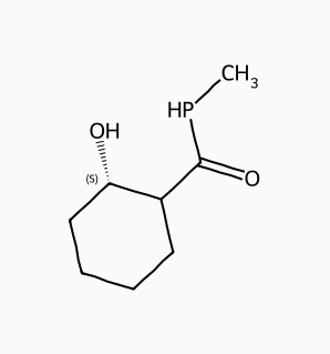 CPC(=O)C1CCCC[C@@H]1O